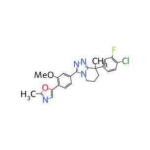 COc1cc(-c2nnc3n2CCCC3(C)c2ccc(Cl)c(F)c2)ccc1-c1cnc(C)o1